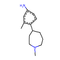 Cc1cc(N)ccc1C1CCCN(C)CC1